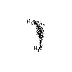 CCCCCCCCc1ccc(-c2ncc(OC(=O)CCC(C)CC)cn2)cc1